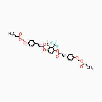 C=CC(=O)OCOc1ccc(/C=C/C(=O)Oc2ccc(OC(=O)/C=C/c3ccc(OCOC(=O)C=C)cc3)c(C(F)(F)F)c2C)cc1